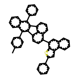 Cc1ccc(-c2c3c(c(-c4ccccc4)c4ccccc24)-c2cccc4c(-c5cc6ccccc6c6cc(-c7ccccc7)sc56)ccc-3c24)cc1